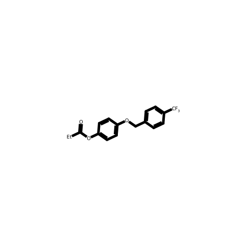 CCC(=O)Oc1ccc(OCc2ccc(C(F)(F)F)cc2)cc1